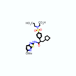 COc1ccc2nc(NC(=O)C(CC3CCCC3)c3ccc(S(=O)(=O)N(CCC(=O)O)CC(=O)O)cc3)sc2n1